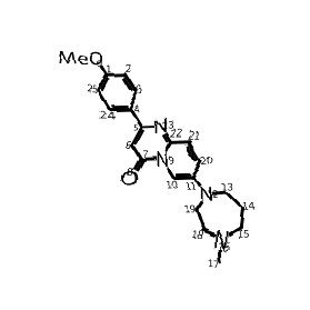 COc1ccc(-c2cc(=O)n3cc(N4CCCN(C)CC4)ccc3n2)cc1